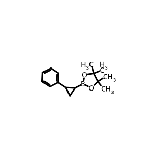 CC1(C)OB(C2CC2c2ccccc2)OC1(C)C